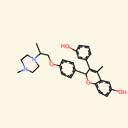 CC1=C(c2cccc(O)c2)C(c2ccc(OCC(C)N3CCN(C)CC3)cc2)Oc2ccc(O)cc21